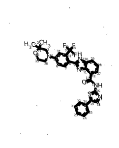 CC1(C)CN(c2ccc(-c3nc4c(C(=O)Nc5ncc(-c6ccccc6)s5)cccc4[nH]3)c(C(F)(F)F)c2)CCO1